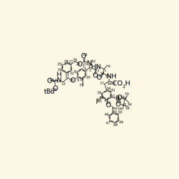 CC(NC(=O)C(c1ccc(OCCNC(=O)OC(C)(C)C)c(I)c1)N(C)C(=O)OCc1ccccc1)C(=O)NC(Cc1cc(F)c(OCc2ccccc2)c(B2OC(C)(C)C(C)(C)O2)c1)C(=O)O